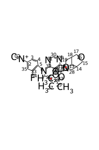 [C-]#[N+]c1ccc(N2CCOc3c(OC4C5COCC4CN(C(=O)OC(C)(C)C)C5)ncnc32)c(F)c1